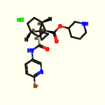 Cl.O=C(OC1CCCNC1)[C@H]1[C@H](C(=O)Nc2ccc(Br)nc2)[C@@H]2CC[C@H]1C21CC1